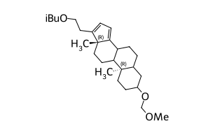 COCOC1CC[C@]2(C)C(CCC3C4=CC=C(CCOCC(C)C)[C@@]4(C)CCC32)C1